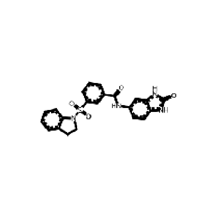 O=C(Nc1ccc2[nH]c(=O)[nH]c2c1)c1cccc(S(=O)(=O)N2CCc3ccccc32)c1